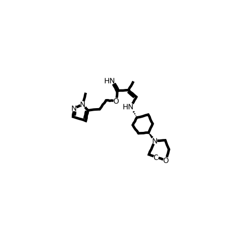 C/C(=C/N[C@H]1CC[C@H](N2CCOCC2)CC1)C(=N)OCCc1ccnn1C